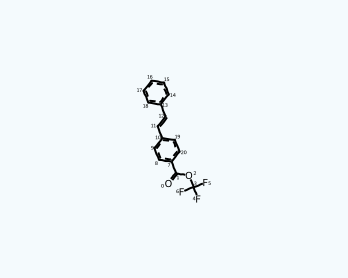 O=C(OC(F)(F)F)c1ccc(C=Cc2ccccc2)cc1